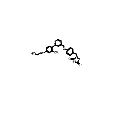 Cc1cc(OCCO)ccc1-c1cc(COc2ccc(Cn3oc(=O)[nH]c3=O)cc2)ccn1